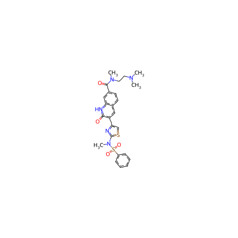 CN(C)CCN(C)C(=O)c1ccc2cc(-c3csc(N(C)S(=O)(=O)c4ccccc4)n3)c(=O)[nH]c2c1